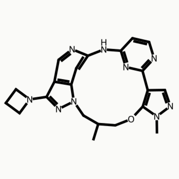 CC1COc2c(cnn2C)-c2nccc(n2)Nc2cc3c(cn2)c(N2CCC2)nn3C1